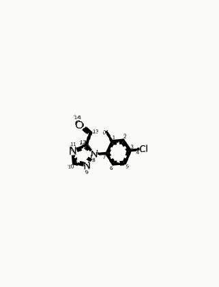 Cc1cc(Cl)ccc1-n1ncnc1C=O